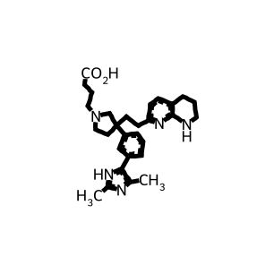 Cc1nc(C)c(-c2cccc(C3(CCc4ccc5c(n4)NCCC5)CCN(CCCC(=O)O)C3)c2)[nH]1